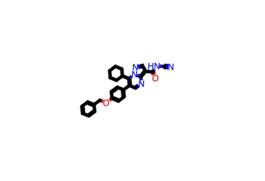 N#CNC(=O)c1cnn2c(C3CCCCC3)c(-c3ccc(OCc4ccccc4)cc3)cnc12